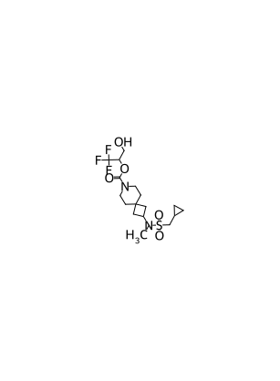 CN(C1CC2(CCN(C(=O)OC(CO)C(F)(F)F)CC2)C1)S(=O)(=O)CC1CC1